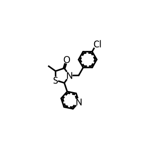 CC1SC(c2cccnc2)N(Cc2ccc(Cl)cc2)C1=O